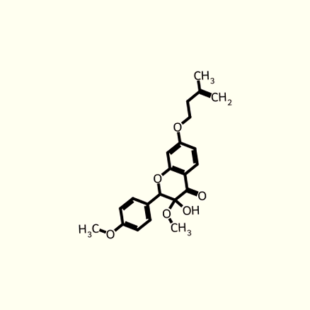 C=C(C)CCOc1ccc2c(c1)OC(c1ccc(OC)cc1)C(O)(OC)C2=O